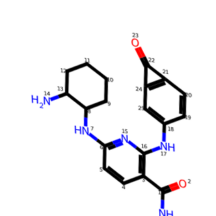 NC(=O)c1ccc(NC2CCCCC2N)nc1Nc1ccc2c(=O)c2c1